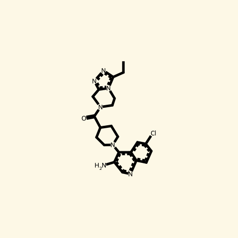 CCc1nnc2n1CCN(C(=O)C1CCN(c3c(N)cnc4ccc(Cl)cc34)CC1)C2